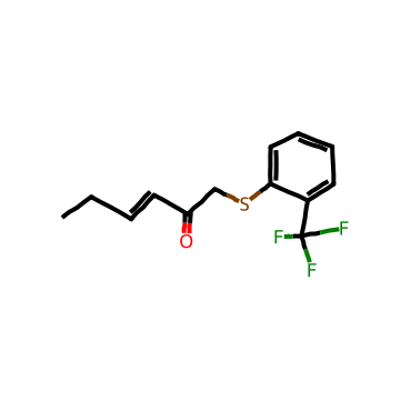 CCC=CC(=O)CSc1ccccc1C(F)(F)F